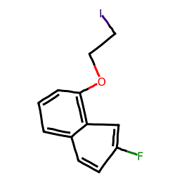 Fc1ccc2cccc(OCCI)c2c1